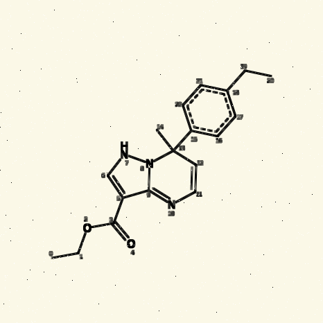 CCOC(=O)C1=CNN2C1=NC=CC2(C)c1ccc(CC)cc1